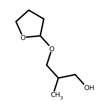 CC(CO)COC1CCCO1